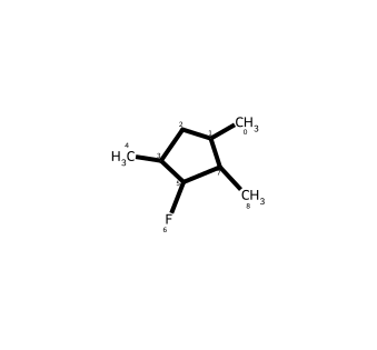 CC1CC(C)C(F)C1C